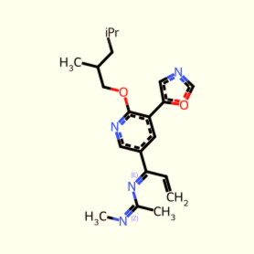 C=C/C(=N\C(C)=N/C)c1cnc(OCC(C)CC(C)C)c(-c2cnco2)c1